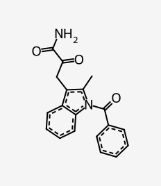 Cc1c(CC(=O)C(N)=O)c2ccccc2n1C(=O)c1ccccc1